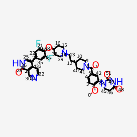 COc1ccc(C(=O)N2CCC(CCN3CCC(Oc4c(F)cc(-c5c[nH]c(=O)c6cnccc56)cc4F)CC3)CC2)cc1N1CCC(=O)NC1=O